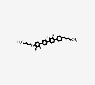 CCCCCOc1ccc(-c2ccc(-c3ccc(C4CCC(CCCCC)CC4)c(F)c3F)cc2)c(F)c1F